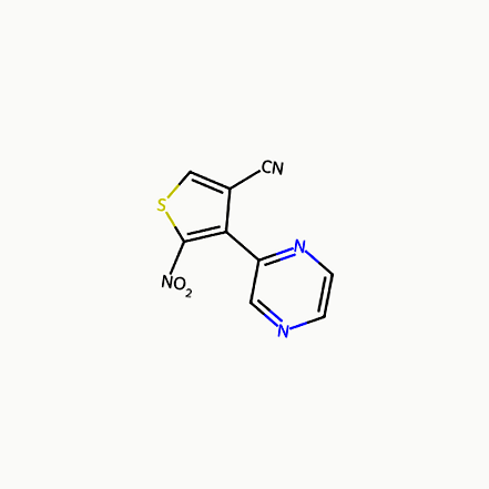 N#Cc1csc([N+](=O)[O-])c1-c1cnccn1